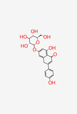 O=C1C=C(c2ccc(O)cc2)Cc2cc(O[C@@H]3O[C@H](CO)[C@@H](O)[C@H](O)[C@H]3O)cc(O)c21